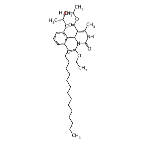 CCCCCCCCCCCCCCCc1cccc(OC(C)C)c1C1C(C(=O)OC(C)C)=C(C)NC(=O)N1C(=O)OCC